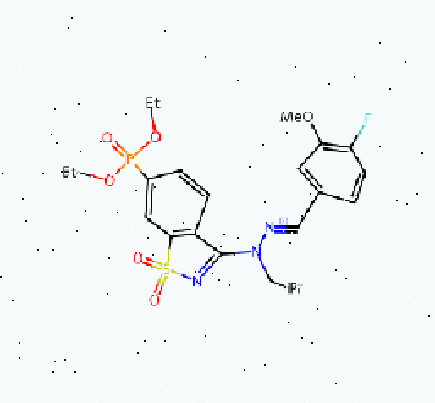 CCOP(=O)(OCC)c1ccc2c(c1)S(=O)(=O)N=C2N(CC(C)C)/N=C/c1ccc(F)c(OC)c1